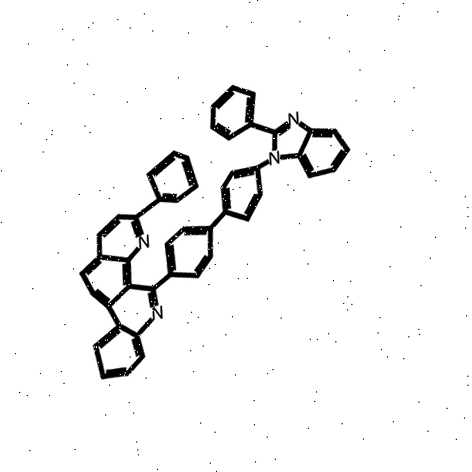 c1ccc(-c2ccc3ccc4c5ccccc5nc(-c5ccc(-c6ccc(-n7c(-c8ccccc8)nc8ccccc87)cc6)cc5)c4c3n2)cc1